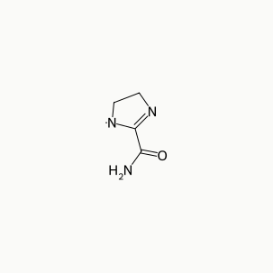 NC(=O)C1=NCC[N]1